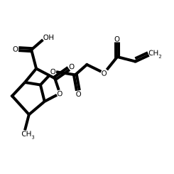 C=CC(=O)OCC(=O)OC1C2CC(C)C1OC(=O)C2C(=O)O